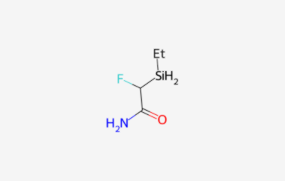 CC[SiH2]C(F)C(N)=O